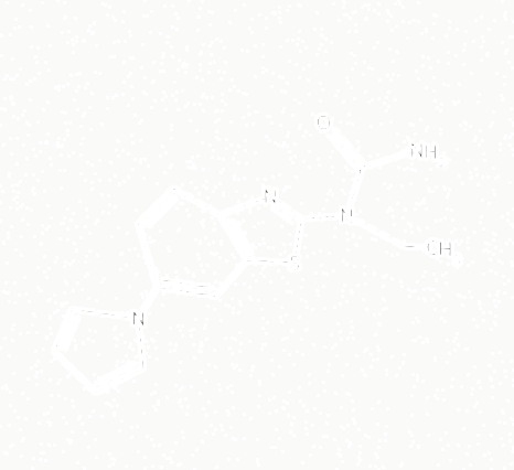 CCN(C(N)=O)c1nc2ccc(-n3cccc3)cc2s1